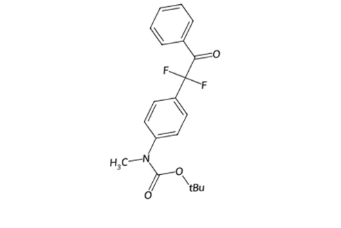 CN(C(=O)OC(C)(C)C)c1ccc(C(F)(F)C(=O)c2ccccc2)cc1